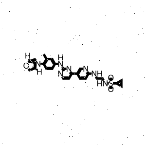 Cc1cc(Nc2nccc(-c3ccc(NCCNS(=O)(=O)C4CC4)nc3)n2)ccc1N1C[C@@H]2C[C@H]1CO2